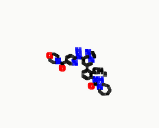 Cc1c(NC(=O)N2CCCCCC2)cccc1-c1cc(Nc2ccc(C(=O)N3CCOCC3)cn2)c2nccn2c1